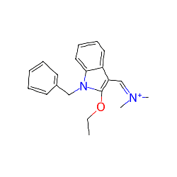 CCOc1c(C=[N+](C)C)c2ccccc2n1Cc1ccccc1